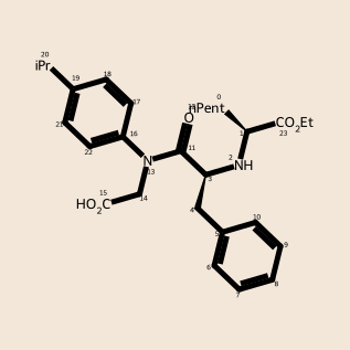 CCCCC[C@H](N[C@@H](Cc1ccccc1)C(=O)N(CC(=O)O)c1ccc(C(C)C)cc1)C(=O)OCC